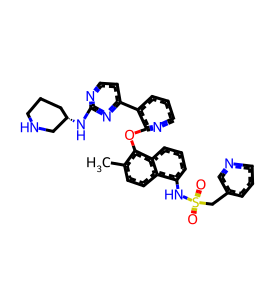 Cc1ccc2c(NS(=O)(=O)Cc3cccnc3)cccc2c1Oc1ncccc1-c1ccnc(N[C@H]2CCCNC2)n1